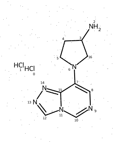 Cl.Cl.NC1CCN(c2cncn3cnnc23)C1